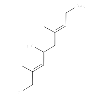 CC(=O)OC/C=C(\C)CC(O)/C=C(\C)CBr